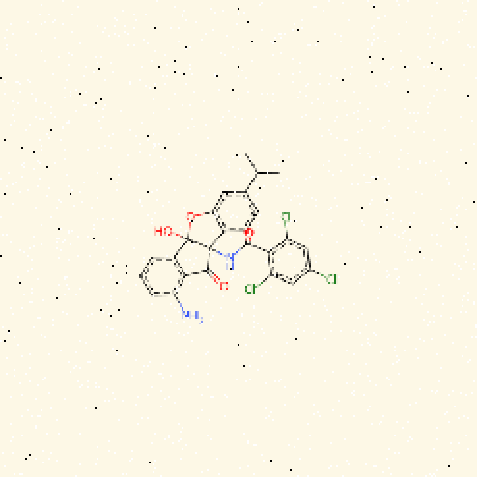 CC(C)c1ccc2c(c1)OC1(O)c3cccc(N)c3C(=O)C21NC(=O)c1c(Cl)cc(Cl)cc1Cl